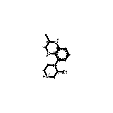 CCC1CNCCN1c1cccc2c1OCC(C)O2